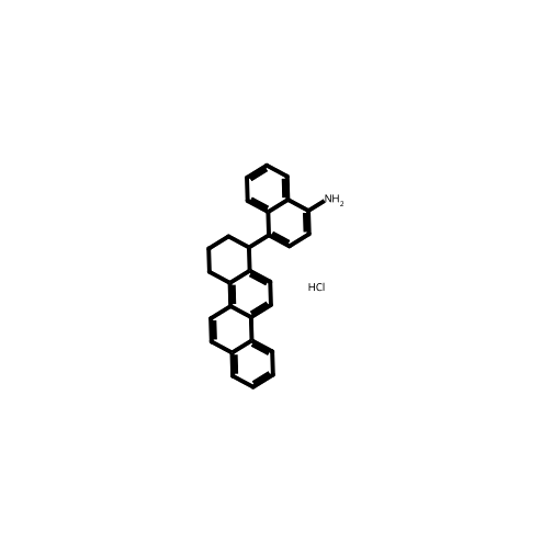 Cl.Nc1ccc(C2CCCc3c2ccc2c3ccc3ccccc32)c2ccccc12